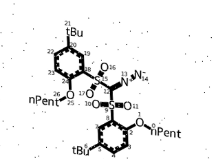 CCCCCOc1ccc(C(C)(C)C)cc1S(=O)(=O)C(=[N+]=[N-])S(=O)(=O)c1cc(C(C)(C)C)ccc1OCCCCC